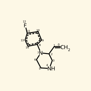 C=CC1CNCCN1c1ccc(F)cc1